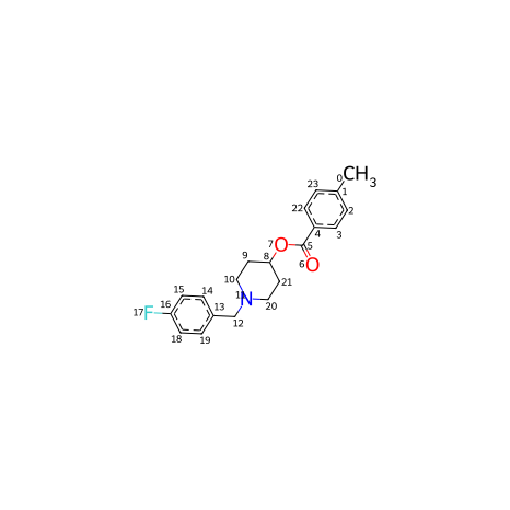 Cc1ccc(C(=O)OC2CCN(Cc3ccc(F)cc3)CC2)cc1